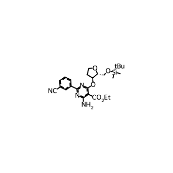 CCOC(=O)c1c(N)nc(-c2cccc(C#N)c2)nc1O[C@H]1CCO[C@@H]1CO[Si](C)(C)C(C)(C)C